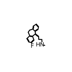 CNCC/C=C1/c2ccccc2CCc2ccc(F)cc21